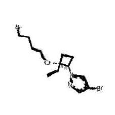 C=C[C@@]1(OCCCCBr)CC[C@H]1n1cc(Br)cn1